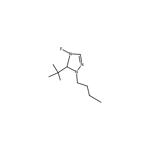 CCCCN1N=CN(F)C1C(C)(C)C